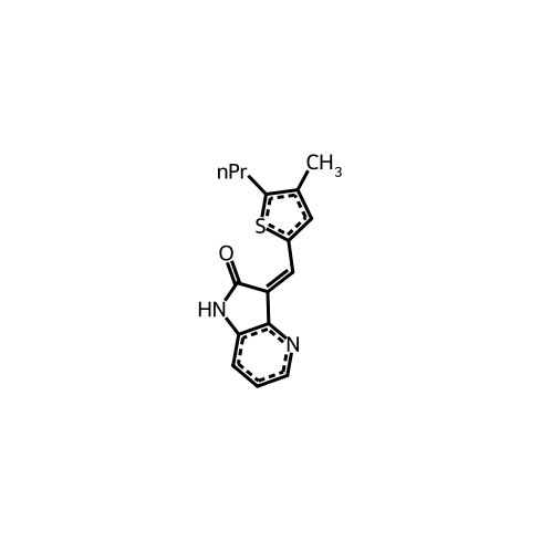 CCCc1sc(C=C2C(=O)Nc3cccnc32)cc1C